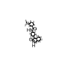 CN(C)c1cccc(C(=O)Nc2ccc(-c3c(=O)[nH]cc4ccccc34)cc2)c1